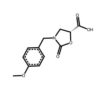 COc1ccc(CN2C[C@H](C(=O)O)OC2=O)cc1